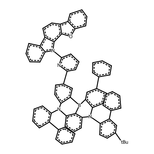 CC(C)(C)c1ccc(N2c3ccc(-c4ccccc4)cc3B3c4cc(-c5cccc(-n6c7ccccc7c7ccc8c9ccccc9oc8c76)n5)ccc4N(c4ccccc4-c4ccccc4)c4cccc2c43)c(-c2ccccc2)c1